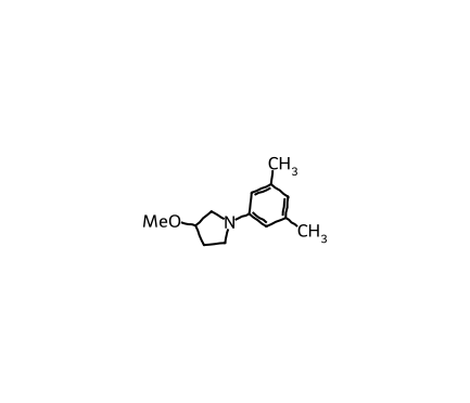 COC1CCN(c2cc(C)cc(C)c2)C1